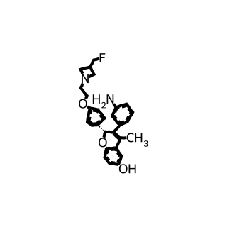 CC1=C(c2cccc(N)c2)[C@@H](c2ccc(OCCN3CC(CF)C3)cc2)Oc2ccc(O)cc21